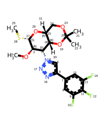 CO[C@@H]1[C@@H](n2cc(-c3cc(F)c(F)c(F)c3)nn2)[C@H]2OC(C)(C)OC[C@H]2O[C@H]1SC